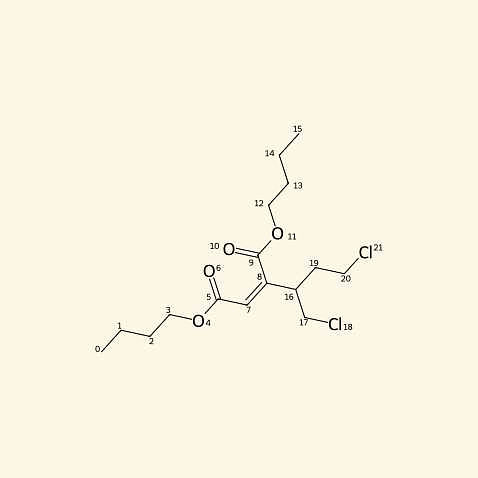 CCCCOC(=O)C=C(C(=O)OCCCC)C(CCl)CCCl